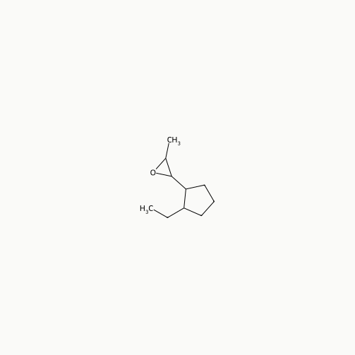 CCC1CCCC1C1OC1C